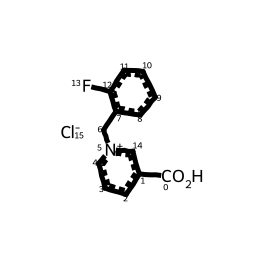 O=C(O)c1ccc[n+](Cc2ccccc2F)c1.[Cl-]